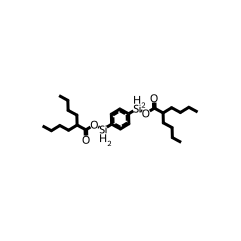 CCCCC(CCCC)C(=O)O[SiH2]c1ccc([SiH2]OC(=O)C(CCCC)CCCC)cc1